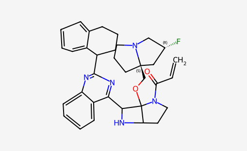 C=CC(=O)N1CCC2NC(c3nc(C4CCCc5ccccc54)nc4ccccc34)C21OC[C@@]12CCCN1C[C@H](F)C2